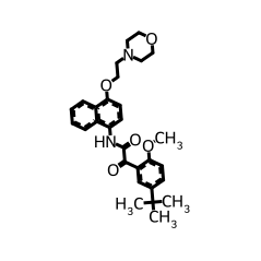 COc1ccc(C(C)(C)C)cc1C(=O)C(=O)Nc1ccc(OCCN2CCOCC2)c2ccccc12